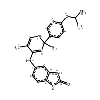 CC1=CNC(N)(c2ccc(OC(C)C)nc2)N=C1Nc1ccc2oc(=O)[nH]c2c1